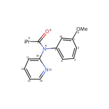 COc1cccc(N(C(=O)C(C)C)c2ccccn2)c1